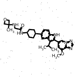 COc1cc(-c2[nH]c3ccc(C4CCC(NC(=O)CNC5(C)COC5)CC4)cc3c2C(C)C)cn2ncnc12